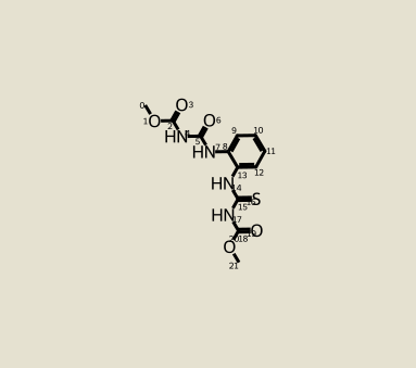 COC(=O)NC(=O)Nc1ccccc1NC(=S)NC(=O)OC